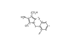 Nc1c(C(=O)O)nn(Cc2c(F)cccc2F)c1Cl